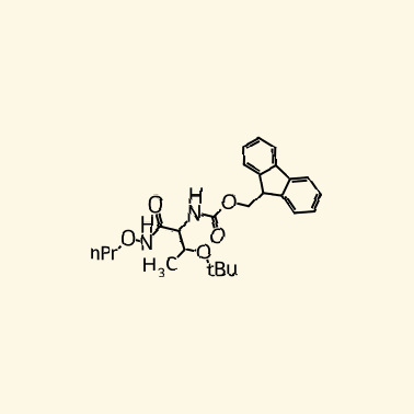 CCCONC(=O)C(NC(=O)OCC1c2ccccc2-c2ccccc21)C(C)OC(C)(C)C